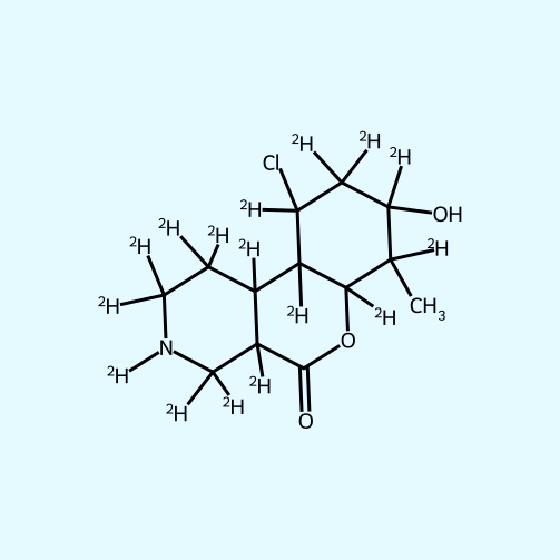 [2H]N1C([2H])([2H])C([2H])([2H])C2([2H])C([2H])(C(=O)OC3([2H])C([2H])(C)C([2H])(O)C([2H])([2H])C([2H])(Cl)C32[2H])C1([2H])[2H]